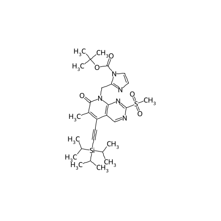 Cc1c(C#C[Si](C(C)C)(C(C)C)C(C)C)c2cnc(S(C)(=O)=O)nc2n(Cc2nccn2C(=O)OC(C)(C)C)c1=O